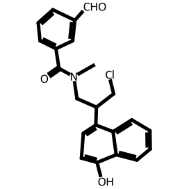 CN(CC(CCl)c1ccc(O)c2ccccc12)C(=O)c1cccc(C=O)c1